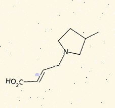 CC1CCN(C/C=C/C(=O)O)C1